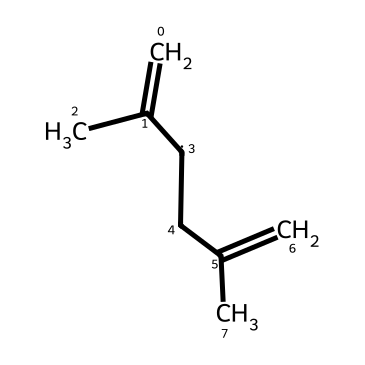 C=C(C)[CH]CC(=C)C